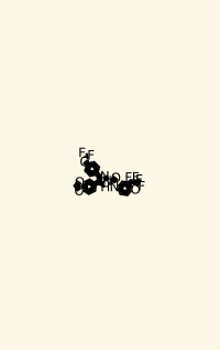 O=C(Nc1ccc2c(c1)C(F)(F)C(F)(F)O2)N1CC(c2ccc3c(c2)OCO3)C(c2ccc(OC(F)F)cc2)=N1